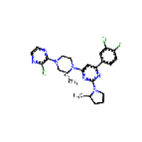 CC1CCCN1c1nc(-c2ccc(F)c(Cl)c2)cc(N2CCN(c3nccnc3Cl)C[C@H]2C)n1